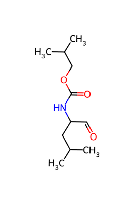 CC(C)COC(=O)NC(C=O)CC(C)C